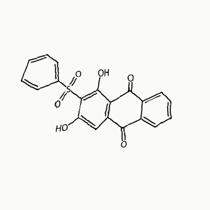 O=C1c2ccccc2C(=O)c2c1cc(O)c(S(=O)(=O)c1ccccc1)c2O